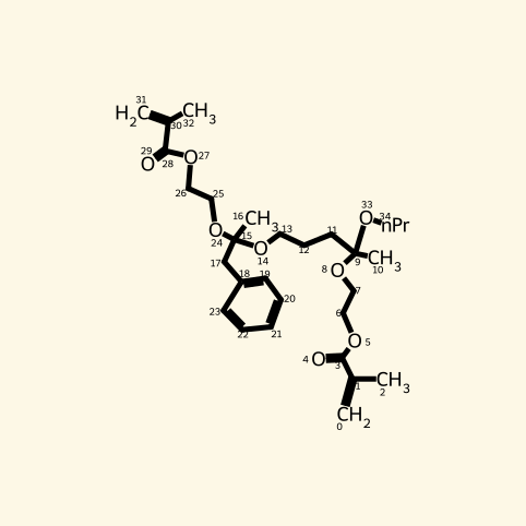 C=C(C)C(=O)OCCOC(C)(CCCOC(C)(Cc1ccccc1)OCCOC(=O)C(=C)C)OCCC